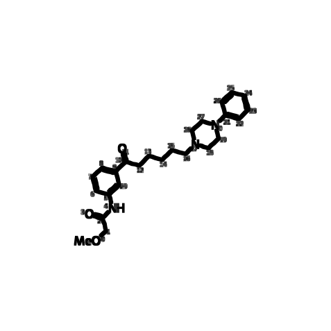 COCC(=O)Nc1cccc(C(=O)CCCCCN2CCN(c3ccccc3)CC2)c1